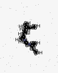 O=S(=O)(O)OCCS(=O)(=O)c1cc(/N=N/c2cc(/N=N/c3ccc(Nc4nc(Cl)nc(Nc5cc(S(=O)(=O)CCOS(=O)(=O)O)cc(S(=O)(=O)O)c5O)n4)cc3S(=O)(=O)O)c(O)cc2O)c(O)c(S(=O)(=O)O)c1